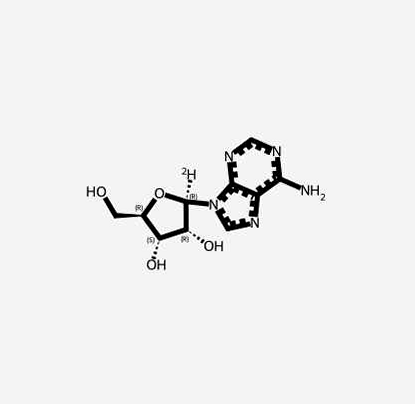 [2H][C@@]1(n2cnc3c(N)ncnc32)O[C@H](CO)[C@@H](O)[C@H]1O